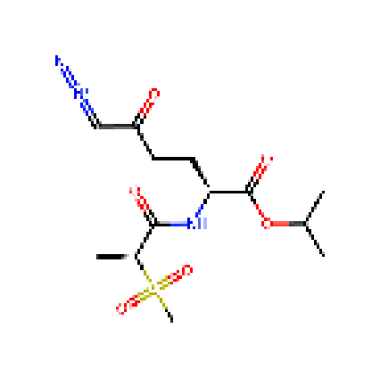 CC(C)OC(=O)[C@H](CCC(=O)C=[N+]=[N-])NC(=O)[C@H](C)S(C)(=O)=O